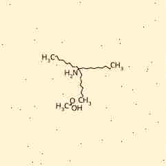 CC(=O)O.CCCCCCCCCC(N)(CCCCCCCC)CCCCCCCC